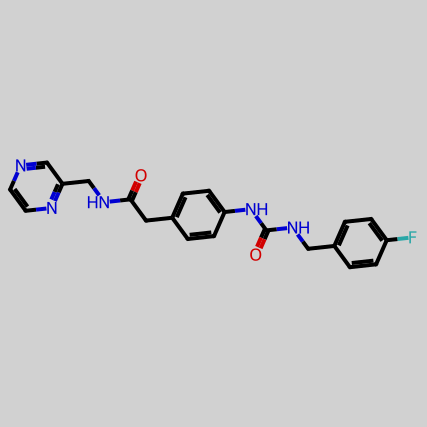 O=C(Cc1ccc(NC(=O)NCc2ccc(F)cc2)cc1)NCc1cnccn1